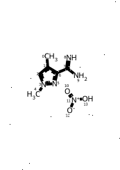 Cc1cn(C)nc1C(=N)N.O=[N+]([O-])O